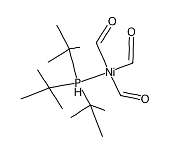 CC(C)(C)[PH](C(C)(C)C)(C(C)(C)C)[Ni]([CH]=O)([CH]=O)[CH]=O